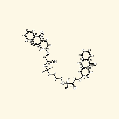 CC(C)(CCCCOC(C)(C)C(=O)COc1ccc2c(=O)c3ccccc3sc2c1)OC(O)COc1ccc2c(=O)c3ccccc3sc2c1